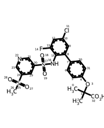 CC(C)(Oc1ccc(-c2cc(Cl)cc(F)c2NS(=O)(=O)c2cncc(S(C)(=O)=O)c2)cc1)C(=O)O